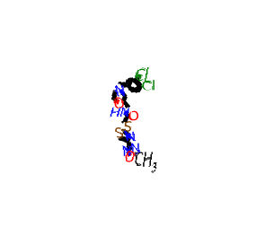 Cc1nc(-c2csc(SCC(=O)NCC3CN(Cc4ccc(Cl)c(Cl)c4)CCO3)n2)no1